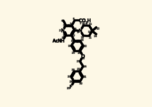 CC(=O)Nc1nc(C)c(CC(=O)O)c(N2CCC(C)(C)CC2)c1-c1ccc(OCCc2ccc(F)cc2)cc1